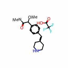 CNC(=O)C(OC)c1ccc(C=C2CCNCC2)cc1.O=C(O)C(F)(F)F